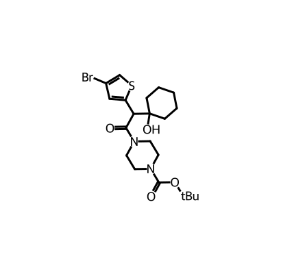 CC(C)(C)OC(=O)N1CCN(C(=O)C(c2cc(Br)cs2)C2(O)CCCCC2)CC1